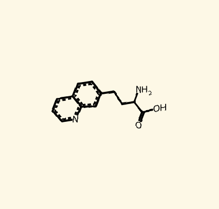 NC(CCc1ccc2cccnc2c1)C(=O)O